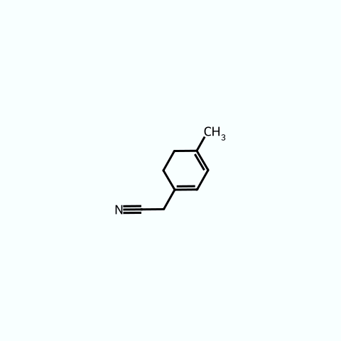 CC1=CC=C(CC#N)CC1